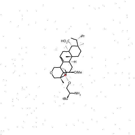 CO[C@@H]1C[C@@]23COC[C@](C)([C@@H]2CC[C@H]2C3=CC[C@@]3(C)[C@H](C(=O)O)[C@@](C)([C@H](C)C(C)C)CC[C@]23C)[C@H]1OC[C@@H](N)C(C)(C)C